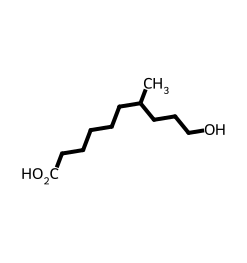 CC(CCCO)CCCCCC(=O)O